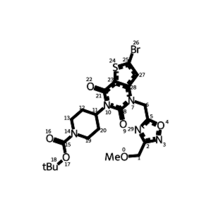 COCc1noc(Cn2c(=O)n(C3CCN(C(=O)OC(C)(C)C)CC3)c(=O)c3sc(Br)cc32)n1